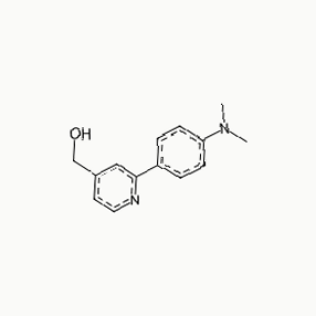 CN(C)c1ccc(-c2cc(CO)ccn2)cc1